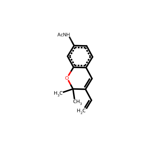 C=CC1=Cc2ccc(NC(C)=O)cc2OC1(C)C